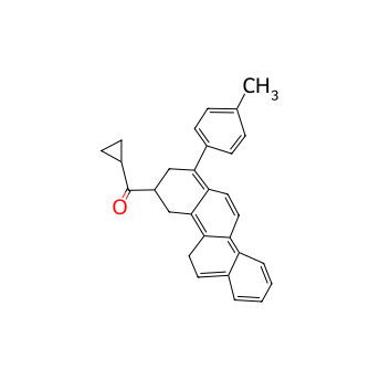 Cc1ccc(C2=c3ccc4c(c3CC(C(=O)C3CC3)C2)CC=c2ccccc2=4)cc1